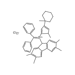 Cc1cc2c(cc1C)[CH]([Zr+2]([C]1=CC(C3(C)CCCCC3)=CC1C)=[C](c1ccccc1)c1ccccc1)c1cc(C)c(C)cc1-2.[Cl-].[Cl-]